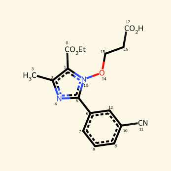 CCOC(=O)c1c(C)nc(-c2cccc(C#N)c2)n1OCCC(=O)O